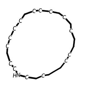 C1CCCCCCCCCCCCNCCCCCCCCCCC1